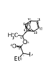 CCC(I)C(=O)OC(C)c1cc2ccc1o2